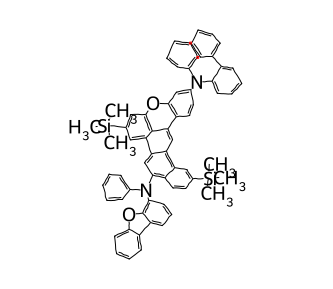 C[Si](C)(C)c1ccc2c(N(c3ccccc3)c3cccc4c3oc3ccccc34)cc3c4cc([Si](C)(C)C)cc5c4c(cc3c2c1)-c1ccc(N(c2ccccc2)c2ccccc2-c2ccccc2)cc1O5